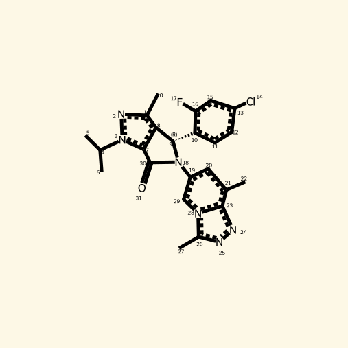 Cc1nn(C(C)C)c2c1[C@H](c1ccc(Cl)cc1F)N(c1cc(C)c3nnc(C)n3c1)C2=O